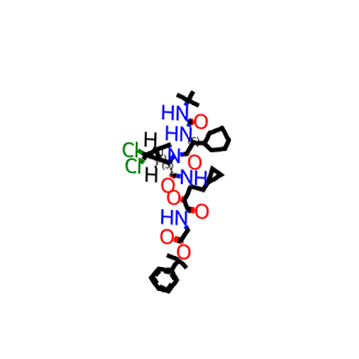 CC(C)(C)NC(=O)N[C@H](C(=O)N1C[C@H]2[C@@H]([C@H]1C(=O)NC(CC1CC1)C(=O)C(=O)NCC(=O)OC(C)(C)c1ccccc1)C2(Cl)Cl)C1CCCCC1